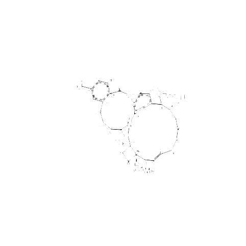 CO[C@H]1/C=C/CCCCC[C@@](O)(C(=O)O)c2ccc3c(c2)N(CCCCc2cc(Cl)ccc2CO3)C[C@@H]2CC[C@H]21